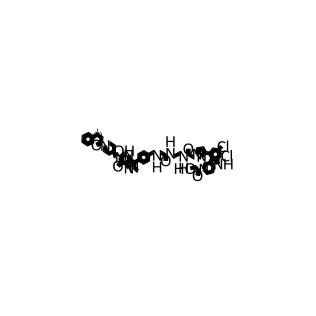 C[C@H](CC(=O)N1CCC(O)(Cn2cnc3c(-c4ccc(CNCC(=O)NCCNC(=O)Cn5ccc(-c6cc(Cl)c(Cl)c7[nH]c8c(c67)CN(C(=O)CO)CC8)n5)cc4)n(C)nc3c2=O)CC1)c1ccccc1